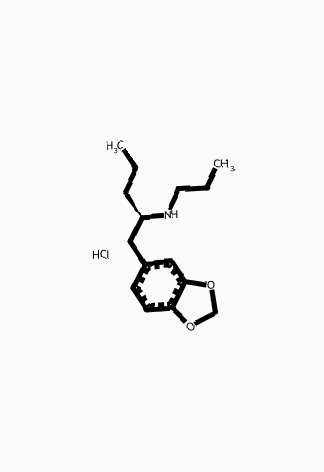 CCCN[C@H](CCC)Cc1ccc2c(c1)OCO2.Cl